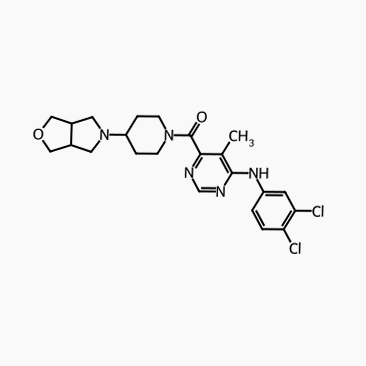 Cc1c(Nc2ccc(Cl)c(Cl)c2)ncnc1C(=O)N1CCC(N2CC3COCC3C2)CC1